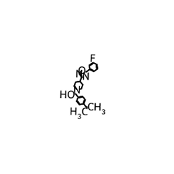 CC(C)c1ccc(C(O)N2CCC(c3noc(-c4cccc(F)c4)n3)CC2)cc1